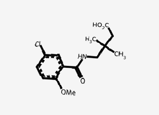 COc1ccc(Cl)cc1C(=O)NCC(C)(C)CC(=O)O